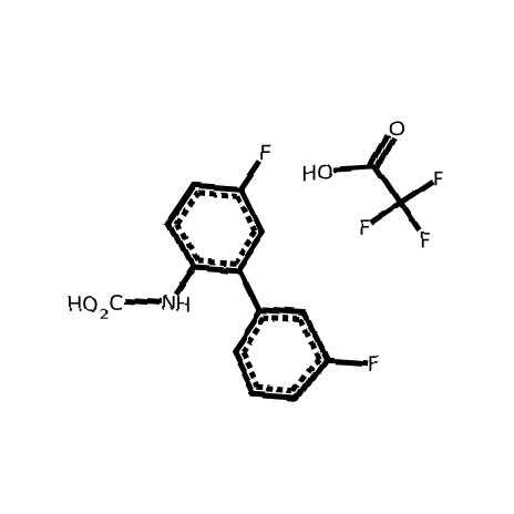 O=C(O)C(F)(F)F.O=C(O)Nc1ccc(F)cc1-c1cccc(F)c1